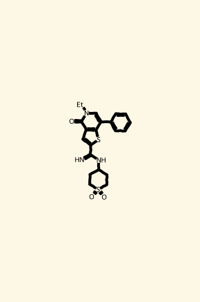 CCn1cc(-c2ccccc2)c2sc(C(=N)NC3CCS(=O)(=O)CC3)cc2c1=O